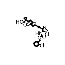 O=C(Nc1c(C#Cc2cc3sc(C4(C(=O)O)CC4)cc3s2)nsc1Cl)OCc1ccccc1Cl